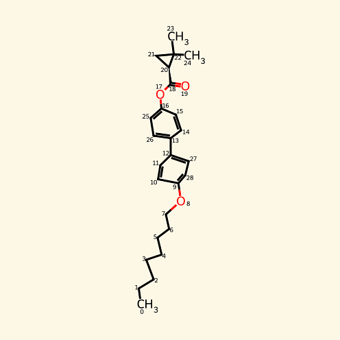 CCCCCCCCOc1ccc(-c2ccc(OC(=O)[C@H]3CC3(C)C)cc2)cc1